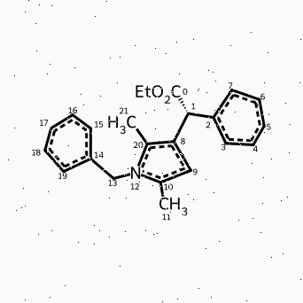 CCOC(=O)[C@H](c1ccccc1)c1cc(C)n(Cc2ccccc2)c1C